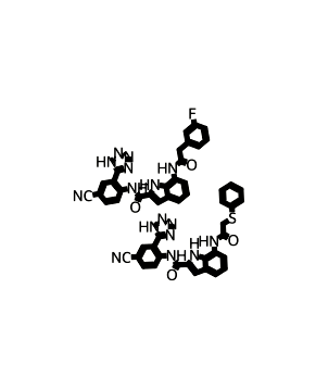 N#Cc1ccc(NC(=O)c2cc3cccc(NC(=O)CSc4ccccc4)c3[nH]2)c(-c2nnn[nH]2)c1.N#Cc1ccc(NC(=O)c2cc3cccc(NC(=O)Cc4cccc(F)c4)c3[nH]2)c(-c2nnn[nH]2)c1